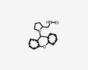 CCNCC1CCCN1C1c2ccccc2Oc2ccccc21